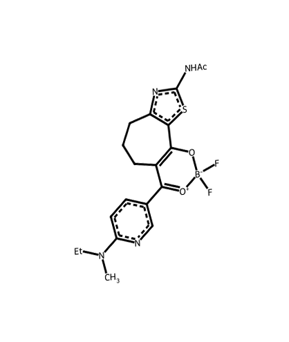 CCN(C)c1ccc(C2=[O+][B-](F)(F)OC3=C2CCCc2nc(NC(C)=O)sc23)cn1